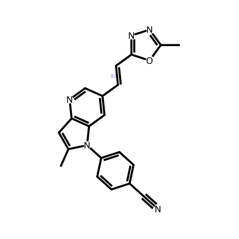 Cc1nnc(/C=C/c2cnc3cc(C)n(-c4ccc(C#N)cc4)c3c2)o1